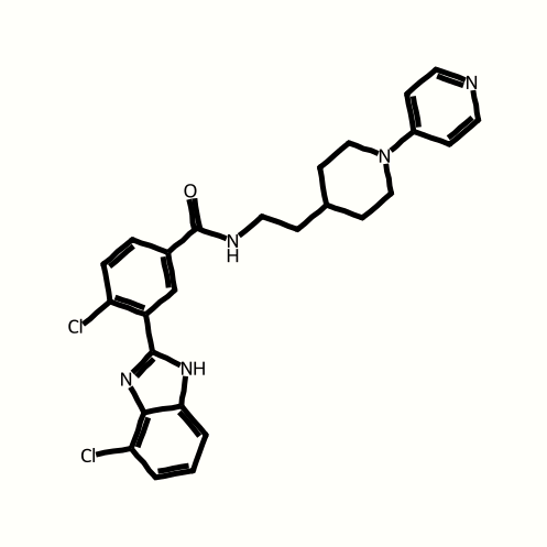 O=C(NCCC1CCN(c2ccncc2)CC1)c1ccc(Cl)c(-c2nc3c(Cl)cccc3[nH]2)c1